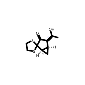 C/C(O)=C1/C(=O)C2(SCCS2)[C@@H]2C[C@H]12